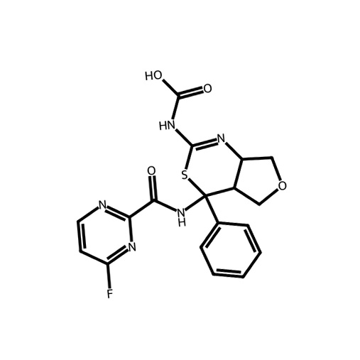 O=C(O)NC1=NC2COCC2C(NC(=O)c2nccc(F)n2)(c2ccccc2)S1